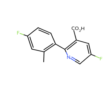 Cc1cc(F)ccc1-c1ncc(F)cc1C(=O)O